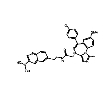 COc1ccc2c(c1)C(c1ccc(Cl)cc1)=N[C@@H](CC(=O)NCCc1ccc3ncc(B(O)O)cc3c1)c1nnc(C)n1-2